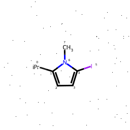 CC(C)c1ccc(I)n1C